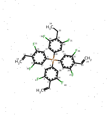 C=Cc1c(F)cc(S(c2cc(F)c(C=C)c(F)c2)(c2cc(F)c(C=C)c(F)c2)c2cc(F)c(CC)c(F)c2)cc1F